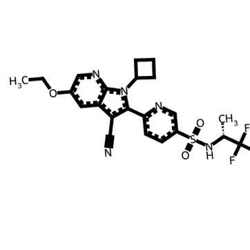 CCOc1cnc2c(c1)c(C#N)c(-c1ccc(S(=O)(=O)N[C@H](C)C(F)(F)F)cn1)n2C1CCC1